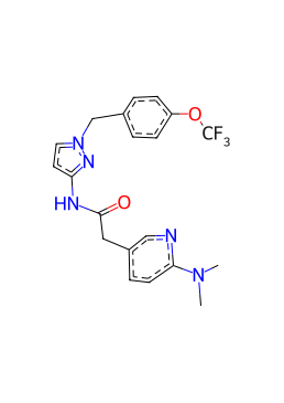 CN(C)c1ccc(CC(=O)Nc2ccn(Cc3ccc(OC(F)(F)F)cc3)n2)cn1